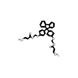 CC=CC(=O)OCOc1ccc(C2(c3ccc(OCOC(=O)C=CC)cc3)c3ccccc3-c3ccccc32)cc1